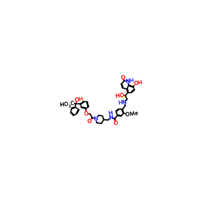 COc1cc(C(=O)NCC2CCN(C(=O)COc3cccc(C(O)(C(=O)O)c4ccccc4)c3)CC2)ccc1CNCC(O)c1ccc(O)c2[nH]c(=O)ccc12